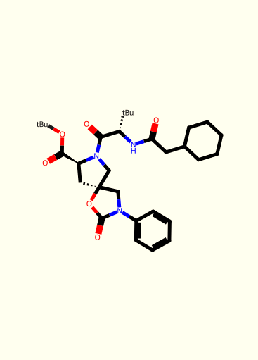 CC(C)(C)OC(=O)[C@@H]1C[C@@]2(CN(c3ccccc3)C(=O)O2)CN1C(=O)[C@@H](NC(=O)CC1CCCCC1)C(C)(C)C